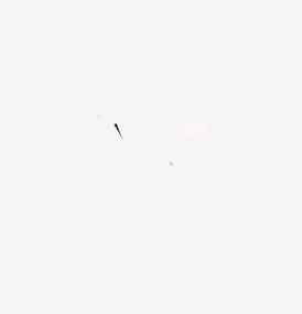 CC(C)[C@@H]1CCC[C@H]1O